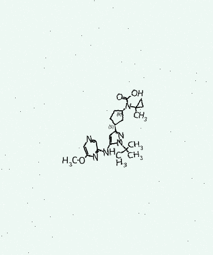 COc1cncc(Nc2cc([C@H]3CC[C@@H](N(C(=O)O)C4(C)CC4)C3)nn2C(C)(C)C)n1